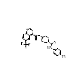 O=C(Nc1ccc(Cl)cc1)C1CCC(CNc2ccnc3ccc(C(F)(F)F)cc23)CC1